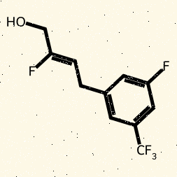 OC/C(F)=C/Cc1cc(F)cc(C(F)(F)F)c1